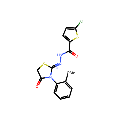 COc1ccccc1N1C(=O)CS/C1=N\NC(=O)c1ccc(Cl)s1